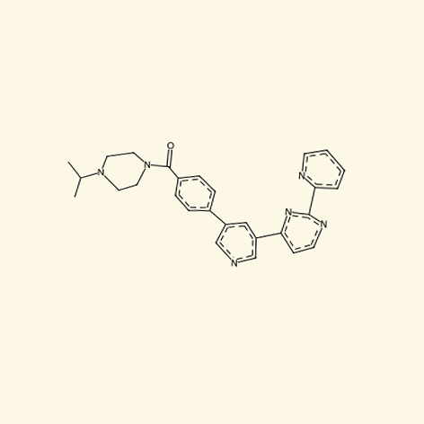 CC(C)N1CCN(C(=O)c2ccc(-c3cncc(-c4ccnc(-c5ccccn5)n4)c3)cc2)CC1